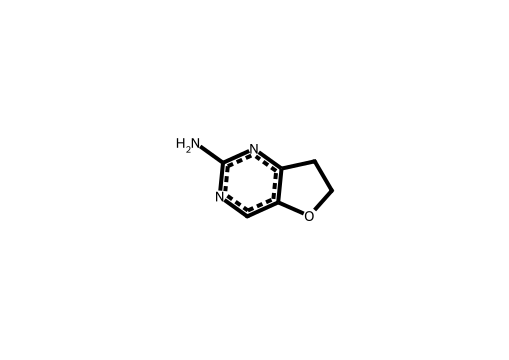 Nc1ncc2c(n1)CCO2